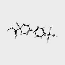 COC(=O)[C@]1(I)C=CC(c2ccc(C(F)(F)F)cc2)=CC1